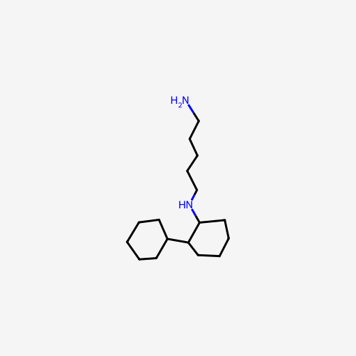 NCCCCCNC1CCCCC1C1CCCCC1